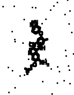 Cc1cc(Nc2c(C#N)cnc3cc(OCCN(C)C)c(N)cc23)ccc1Oc1ccn2ncnc2c1